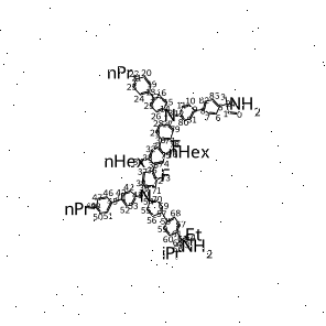 C=CC(C)(N)c1ccc(-c2ccc(N(c3ccc(-c4ccc(CCC)cc4)cc3)c3ccc(-c4cc(CCCCCC)c(-c5ccc(N(c6ccc(-c7ccc(CCC)cc7)cc6)c6ccc(-c7ccc(C(N)(CC)CC(C)C)cc7)cc6)cc5F)cc4CCCCCC)c(F)c3)cc2)cc1